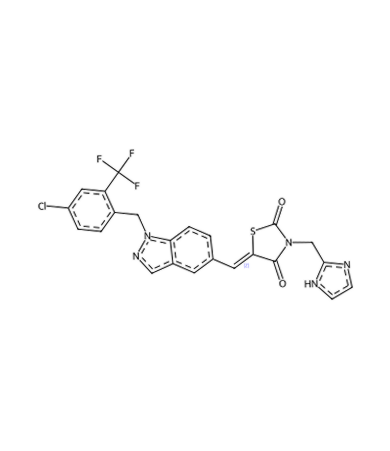 O=C1S/C(=C\c2ccc3c(cnn3Cc3ccc(Cl)cc3C(F)(F)F)c2)C(=O)N1Cc1ncc[nH]1